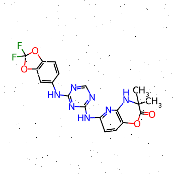 CC1(C)Nc2nc(Nc3ncnc(Nc4ccc5c(c4)OC(F)(F)O5)n3)ccc2OC1=O